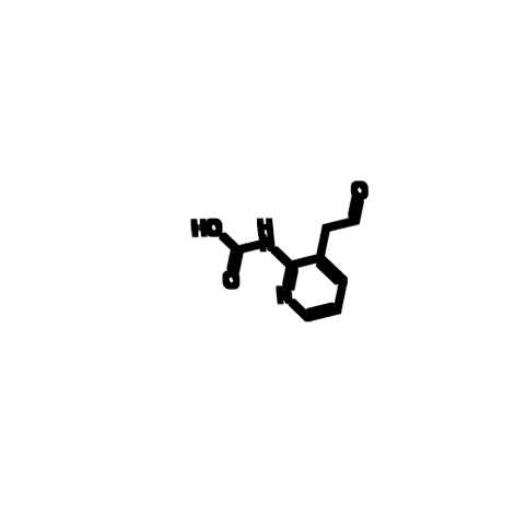 O=CCc1cccnc1NC(=O)O